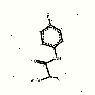 CCCCCC(C)C(=O)Nc1ccc(F)cc1